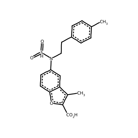 Cc1ccc(CCN(c2ccc3oc(C(=O)O)c(C)c3c2)[SH](=O)=O)cc1